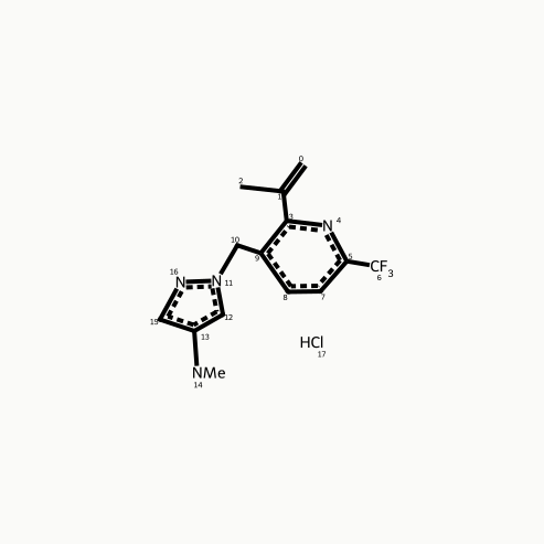 C=C(C)c1nc(C(F)(F)F)ccc1Cn1cc(NC)cn1.Cl